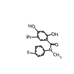 CC(C)c1cc(C(=O)N(C)c2ccc(F)cc2)c(O)cc1O